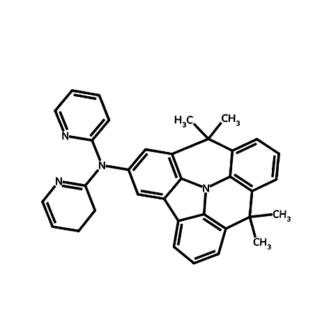 CC1(C)c2cccc3c2-n2c4c1cccc4c1cc(N(C4=NC=CCC4)c4ccccn4)cc(c12)C3(C)C